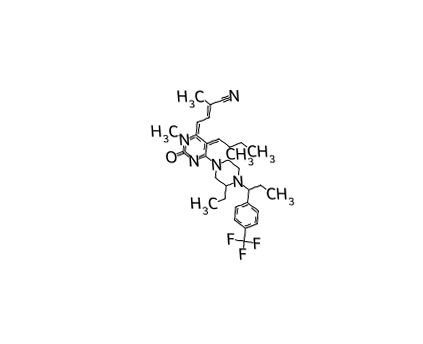 CCC\C=c1/c(N2CC(CC)N(C(CC)c3ccc(C(F)(F)F)cc3)CC2C)nc(=O)n(C)/c1=C/C=C(\C)C#N